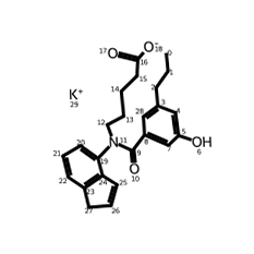 CCCc1cc(O)cc(C(=O)N(CCCCC(=O)[O-])c2cccc3c2C=CC3)c1.[K+]